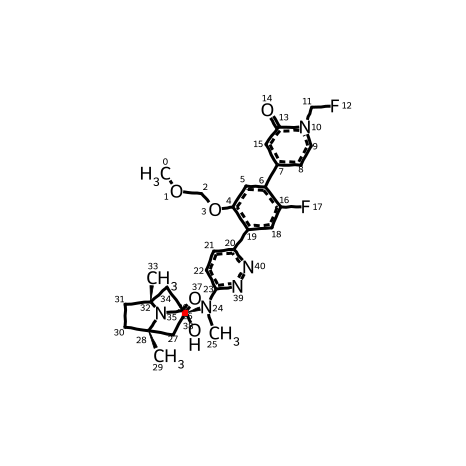 COCOc1cc(-c2ccn(CF)c(=O)c2)c(F)cc1-c1ccc(N(C)[C@H]2C[C@]3(C)CC[C@](C)(C2)N3C(=O)O)nn1